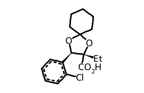 CC[C@]1(C(=O)O)OC2(CCCCC2)O[C@@H]1c1ccccc1Cl